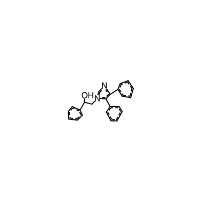 OC(Cn1cnc(-c2ccccc2)c1-c1ccccc1)c1ccccc1